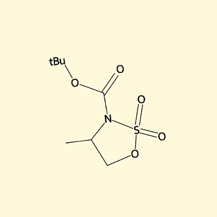 CC1COS(=O)(=O)N1C(=O)OC(C)(C)C